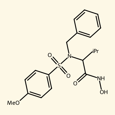 COc1ccc(S(=O)(=O)N(Cc2ccccc2)C(C(=O)NO)C(C)C)cc1